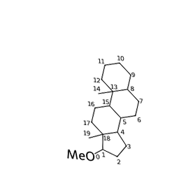 COC1CCC2C3CCC4CCCCC4(C)C3CCC12C